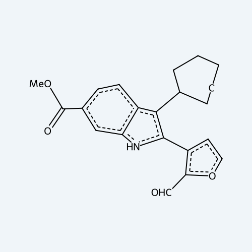 COC(=O)c1ccc2c(C3CCCCC3)c(-c3ccoc3C=O)[nH]c2c1